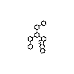 c1ccc(-c2cccc(-c3cc(-c4cccc(-c5ccccc5)c4)cc(-c4cccc5c4sc4cc6ccccc6cc45)c3)c2)cc1